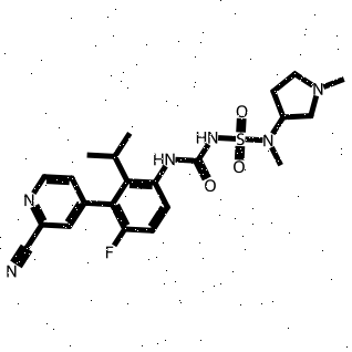 CC(C)c1c(NC(=O)NS(=O)(=O)N(C)C2CCN(C)C2)ccc(F)c1-c1ccnc(C#N)c1